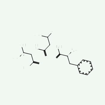 CC(C)[C@H](NC(=O)[C@@H](N)Cc1ccccc1)C(=O)N[C@H](C(=O)O)[C@@H](C)O